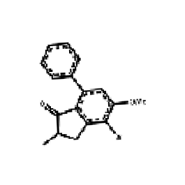 COc1cc(-c2ccccc2)c2c(c1Br)CC(C)C2=O